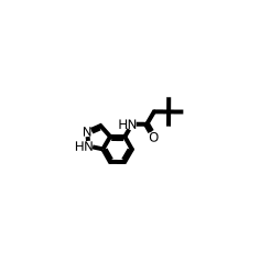 CC(C)(C)CC(=O)Nc1cccc2[nH]ncc12